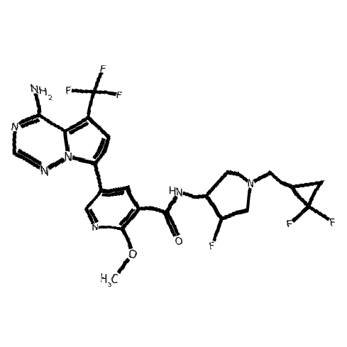 COc1ncc(-c2cc(C(F)(F)F)c3c(N)ncnn23)cc1C(=O)NC1CN(CC2CC2(F)F)CC1F